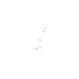 CC(=O)NCCNCCON=C(C)C